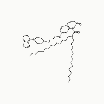 CCCCCCCCCCCCCCN(CCCCCCCCCCCCCC)C(=O)n1c(=O)ccc2ccc(OCCCCN3CCN(c4cccc5sccc45)CC3)cc21